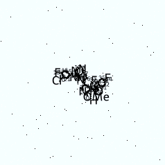 COc1ncc(-c2ccc3ncnc(Nc4ccc(F)c(Cl)c4)c3n2)cc1NS(=O)(=O)c1ccc(F)cc1F